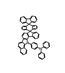 c1ccc(N(c2ccccc2)c2ccc(-n3c4c5c(ccc4c4ccc6ccccc6c43)C3(c4ccccc4-5)c4ccccc4C4(c5ccccc5-c5ccccc54)c4ccccc43)cc2)cc1